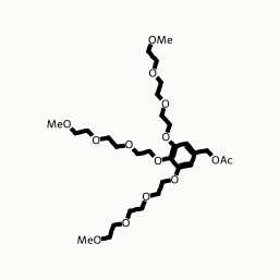 COCCOCCOCCOc1cc(COC(C)=O)cc(OCCOCCOCCOC)c1OCCOCCOCCOC